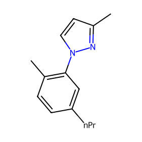 CCCc1ccc(C)c(-n2ccc(C)n2)c1